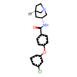 O=C(N[C@@H]1C[C@H]2CCN(C2)C1)c1ccc(Oc2cccc(Cl)c2)cc1